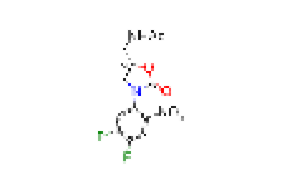 CC(=O)NC[C@H]1CN(c2cc(F)c(F)cc2[N+](=O)[O-])C(=O)O1